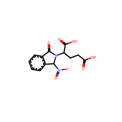 O=C(O)CCC(C(=O)O)N1C(=O)c2ccccc2C1[N+](=O)[O-]